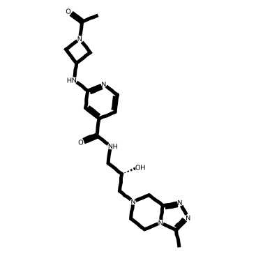 CC(=O)N1CC(Nc2cc(C(=O)NC[C@H](O)CN3CCn4c(C)nnc4C3)ccn2)C1